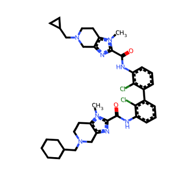 Cn1c(C(=O)Nc2cccc(-c3cccc(NC(=O)c4nc5c(n4C)CCN(CC4CC4)C5)c3Cl)c2Cl)nc2c1CCN(CC1CCCCC1)C2